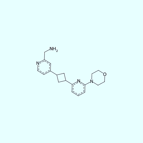 NCc1cc(C2CC(c3cccc(N4CCOCC4)n3)C2)ccn1